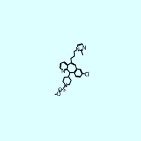 COOSN1CCC(C2c3ccc(Cl)cc3C=C(CCCn3ccnc3C)c3cccnc32)CC1